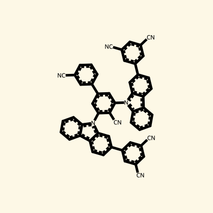 N#Cc1cccc(-c2cc(-n3c4ccccc4c4ccc(-c5cc(C#N)cc(C#N)c5)cc43)c(C#N)c(-n3c4ccccc4c4ccc(-c5cc(C#N)cc(C#N)c5)cc43)c2)c1